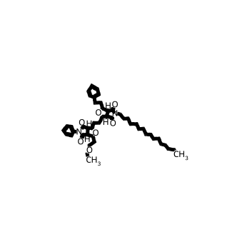 CCCCCCCCCCCCCCCCN1C(=O)[C@@H]2C(CCC3OC(CCOCC)[C@H]4C(=O)N(c5ccccc5)C(=O)[C@@H]34)OC(CCc3ccccc3)[C@@H]2C1=O